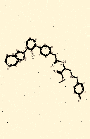 COC(=O)C(COCc1ccc(F)cc1)NC(=O)Cc1ccc(-c2cccc(-c3cc4ccncc4[nH]3)c2O)cc1